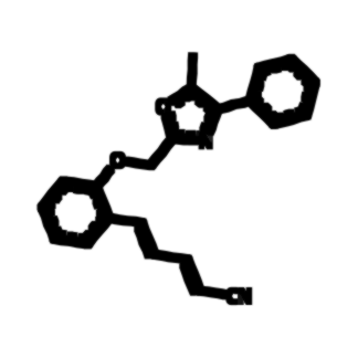 Cc1oc(COc2ccccc2/C=C/C=C/C#N)nc1-c1ccccc1